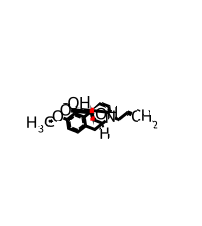 C=CCN1CC[C@]23CC(=O)CC[C@@]2(O)[C@H]1Cc1ccc(OC)c(O)c13